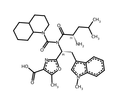 Cc1oc([C@@H](Cc2cn(C)c3ccccc23)N(C(=O)[C@@H](N)CC(C)C)C(=O)N2CCCC3CCCCC32)nc1C(=O)O